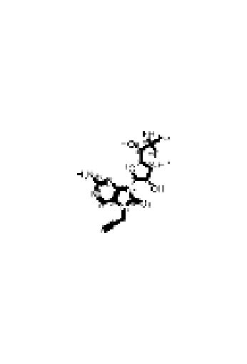 C#CCn1c(=O)n([C@@H]2O[C@H]([C@@H](O)C(F)(F)F)[C@H](F)[C@H]2O)c2nc(N)ncc21